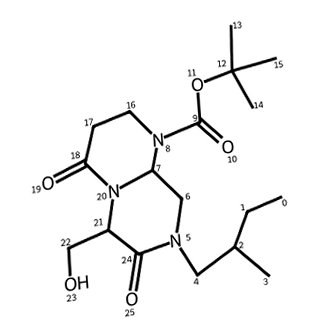 CCC(C)CN1CC2N(C(=O)OC(C)(C)C)CCC(=O)N2C(CO)C1=O